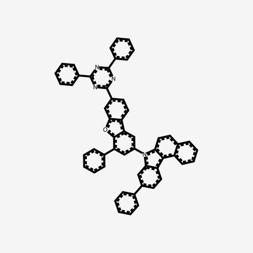 c1ccc(-c2ccc3c4c5ccccc5ccc4n(-c4cc(-c5ccccc5)c5oc6cc(-c7nc(-c8ccccc8)nc(-c8ccccc8)n7)ccc6c5c4)c3c2)cc1